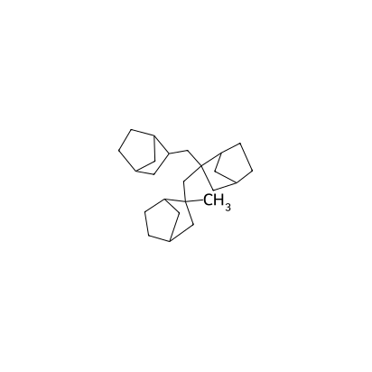 CC1(CC2(CC3CC4CCC3C4)CC3CCC2C3)CC2CCC1C2